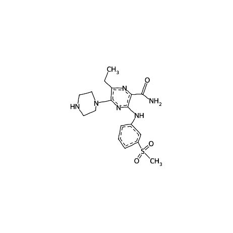 CCc1nc(C(N)=O)c(Nc2cccc(S(C)(=O)=O)c2)nc1N1CCNCC1